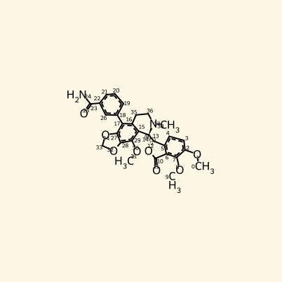 COc1ccc2c(c1OC)C(=O)O[C@@H]2[C@H]1c2c(c(-c3cccc(C(N)=O)c3)c3c(c2OC)OCO3)CCN1C